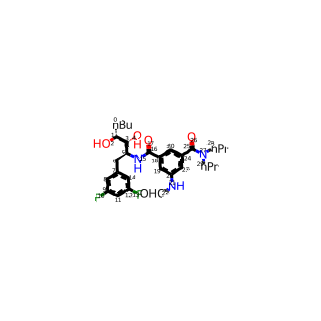 CCCC[C@@H](O)[C@H](O)[C@H](Cc1cc(F)cc(F)c1)NC(=O)c1cc(NC=O)cc(C(=O)N(CCC)CCC)c1